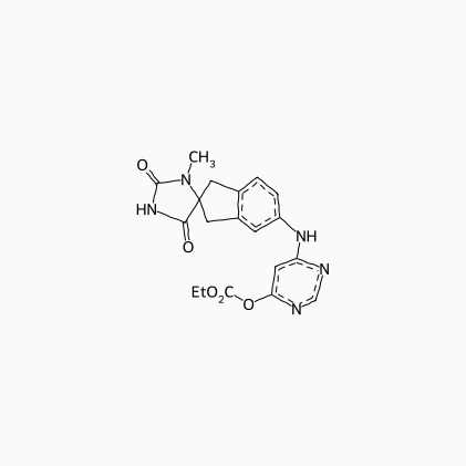 CCOC(=O)Oc1cc(Nc2ccc3c(c2)CC2(C3)C(=O)NC(=O)N2C)ncn1